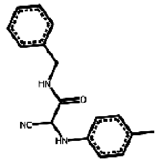 Cc1ccc(NC(C#N)C(=O)NCc2ccccc2)cc1